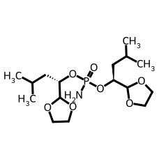 CC(C)C[C@H](OP(N)(=O)O[C@@H](CC(C)C)C1OCCO1)C1OCCO1